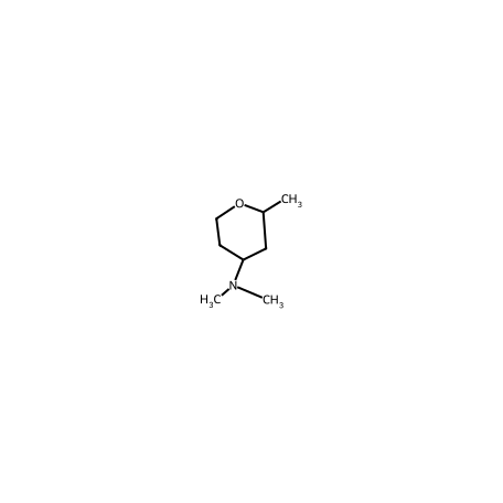 CC1CC(N(C)C)CCO1